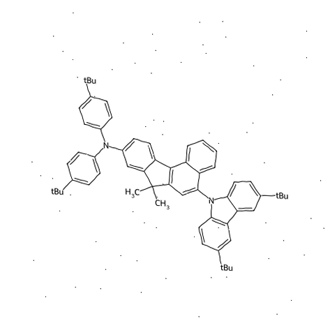 CC(C)(C)c1ccc(N(c2ccc(C(C)(C)C)cc2)c2ccc3c(c2)C(C)(C)c2cc(-n4c5ccc(C(C)(C)C)cc5c5cc(C(C)(C)C)ccc54)c4ccccc4c2-3)cc1